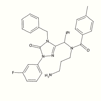 Cc1ccc(C(=O)N(CCCN)C(c2nn(-c3cccc(F)c3)c(=O)n2Cc2ccccc2)C(C)C)cc1